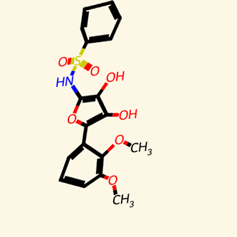 COc1cccc(-c2oc(NS(=O)(=O)c3ccccc3)c(O)c2O)c1OC